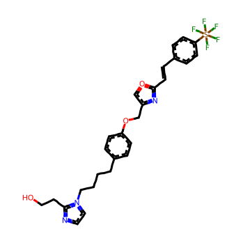 OCCc1nccn1CCCCc1ccc(OCc2coc(/C=C/c3ccc(S(F)(F)(F)(F)F)cc3)n2)cc1